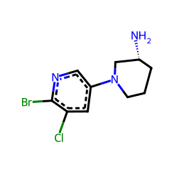 N[C@@H]1CCCN(c2cnc(Br)c(Cl)c2)C1